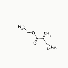 C=C(C(=O)OCC)C1CN1